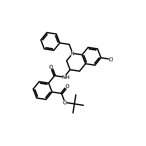 CC(C)(C)OC(=O)c1ccccc1C(=O)NC1Cc2cc(Cl)ccc2N(Cc2ccccc2)C1